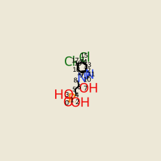 O=P(O)(O)CC[C@@H](O)Cn1cnc2cc(Cl)c(Cl)cc21